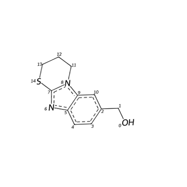 OCc1ccc2nc3n(c2c1)CCCS3